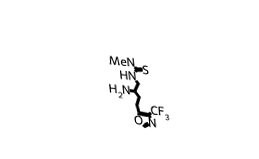 CNC(=S)NCC(N)CCc1ocnc1C(F)(F)F